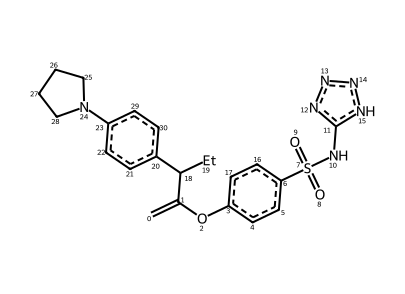 C=C(Oc1ccc(S(=O)(=O)Nc2nnn[nH]2)cc1)C(CC)c1ccc(N2CCCC2)cc1